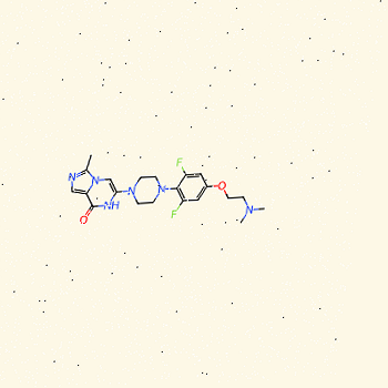 Cc1ncc2c(=O)[nH]c(N3CCN(c4c(F)cc(OCCN(C)C)cc4F)CC3)cn12